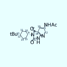 CC(=O)Nc1cnc2[nH]c(=O)n([C@H]3CC[C@@H](C(C)(C)C)CC3)c(=O)c2c1